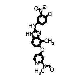 Cc1c(Oc2ccnc(N(C)C=O)c2)ccc2[nH]c(Nc3ccc(Cl)c([N+](=O)[O-])c3)nc12